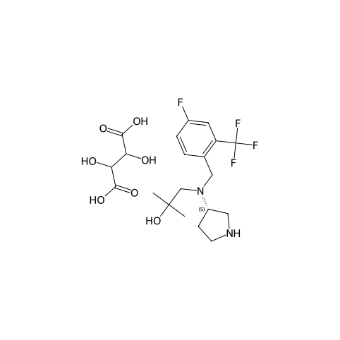 CC(C)(O)CN(Cc1ccc(F)cc1C(F)(F)F)[C@H]1CCNC1.O=C(O)C(O)C(O)C(=O)O